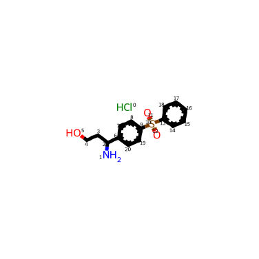 Cl.NC(CCO)c1ccc(S(=O)(=O)c2ccccc2)cc1